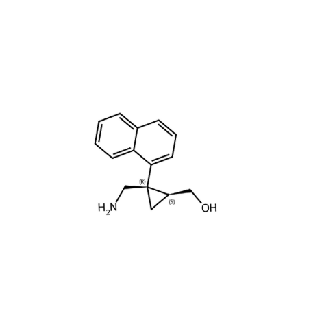 NC[C@]1(c2cccc3ccccc23)C[C@@H]1CO